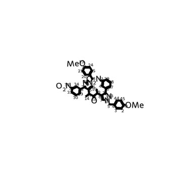 COc1ccc(Cn2cc(C(C)C(=O)C(C)c3cn(Cc4ccc(OC)cc4)nc3-c3cccc([N+](=O)[O-])c3)c(-c3cccc([N+](=O)[O-])c3)n2)cc1